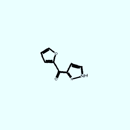 O=C(c1cc[nH]n1)c1ccco1